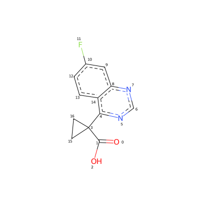 O=C(O)C1(c2ncnc3cc(F)ccc23)CC1